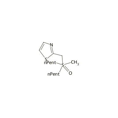 CCCCCS(C)(=O)(CCCCC)Cc1nccs1